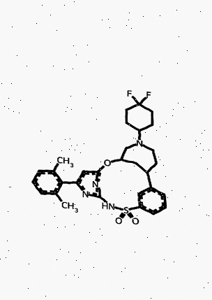 Cc1cccc(C)c1-c1cc2nc(n1)NS(=O)(=O)c1cccc(c1)C1CCN(C3CCC(F)(F)CC3)CC(C1)O2